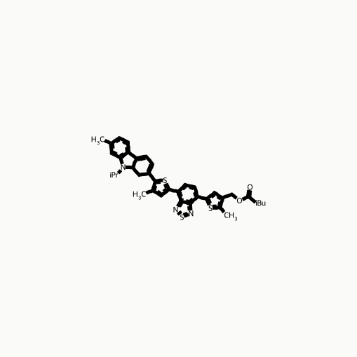 CCC(C)C(=O)OCc1cc(-c2ccc(-c3cc(C)c(C4=CC=C5c6ccc(C)cc6N(C(C)C)C5C4)s3)c3nsnc23)sc1C